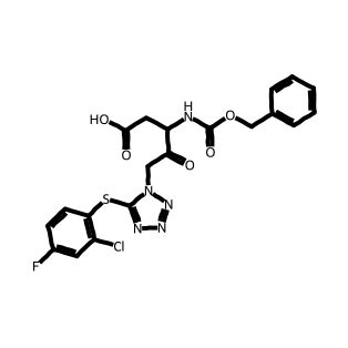 O=C(O)CC(NC(=O)OCc1ccccc1)C(=O)Cn1nnnc1Sc1ccc(F)cc1Cl